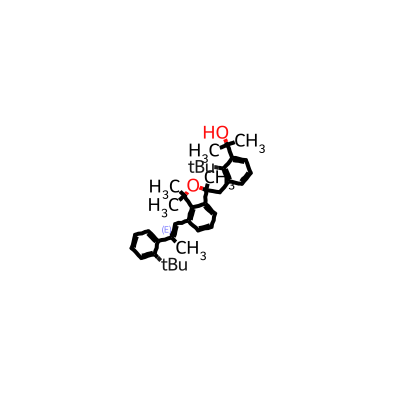 C/C(=C\c1cccc2c1C(C)(C)OC2(C)Cc1cccc(C(C)(C)O)c1C(C)(C)C)c1ccccc1C(C)(C)C